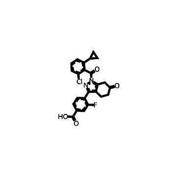 O=C1CCc2c(-c3ccc(C(=O)O)cc3F)nn(C(=O)c3c(Cl)cccc3C3CC3)c2C1